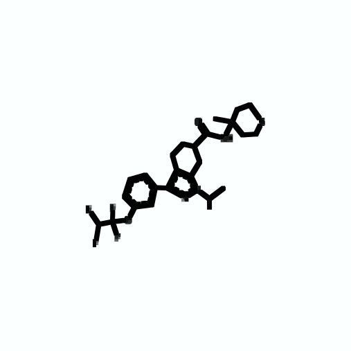 CC(C)n1nc(-c2cccc(OC(F)(F)C(F)F)c2)c2c1CC(C(=O)NC1(C)CCSCC1)CC2